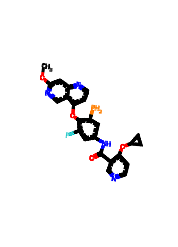 COc1cc2nccc(Oc3c(F)cc(NC(=O)c4cnccc4OC4CC4)cc3P)c2cn1